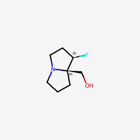 OC[C@@]12CCCN1CC[C@H]2F